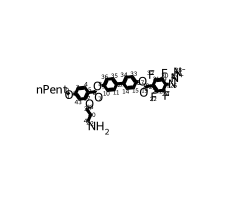 CCCCCOc1ccc(C(=O)Oc2ccc(-c3ccc(OC(=O)C4=C(F)C(F)C(N=[N+]=[N-])C(F)=C4F)cc3)cc2)c(OCCCN)c1